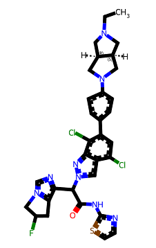 CCN1C[C@@H]2CN(c3ccc(-c4cc(Cl)c5cn(C(C(=O)Nc6nccs6)c6ncn7c6CC(F)C7)nc5c4Cl)cc3)C[C@@H]2C1